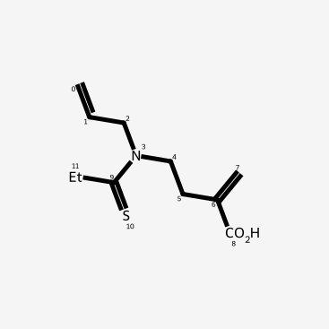 C=CCN(CCC(=C)C(=O)O)C(=S)CC